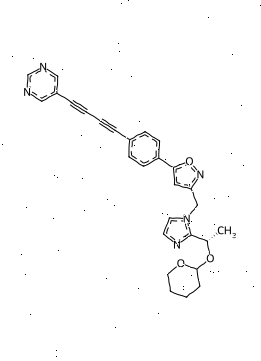 C[C@H](OC1CCCCO1)c1nccn1Cc1cc(-c2ccc(C#CC#Cc3cncnc3)cc2)on1